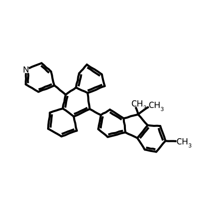 Cc1ccc2c(c1)C(C)(C)c1cc(-c3c4ccccc4c(-c4ccncc4)c4ccccc34)ccc1-2